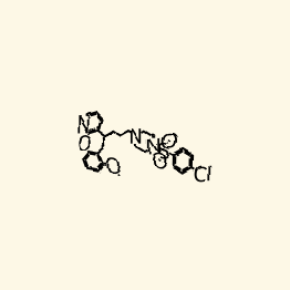 COc1cccc2c1CC(=CCCN1CCN(S(=O)(=O)c3ccc(Cl)cc3)CC1)c1cccnc1O2